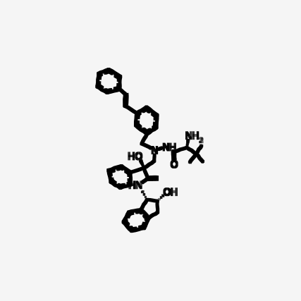 C=C(N[C@H]1c2ccccc2C[C@H]1O)[C@@](O)(CN(Cc1cccc(/C=C/c2ccccc2)c1)NC(=O)[C@@H](N)C(C)(C)C)c1ccccc1